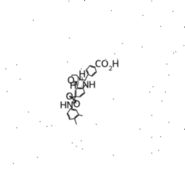 Cc1ccc(NS(=O)(=O)c2ccc3c(c2)[C@H]2OCC[C@H]2C(c2ccc(C(=O)O)cc2)N3)cc1C